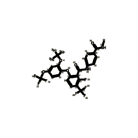 [2H]C([2H])([2H])Oc1cc(OC(F)(F)F)ccc1Oc1ccc(C(F)(F)F)c(F)c1C(=O)Nc1ccc(C(=O)NC)nc1